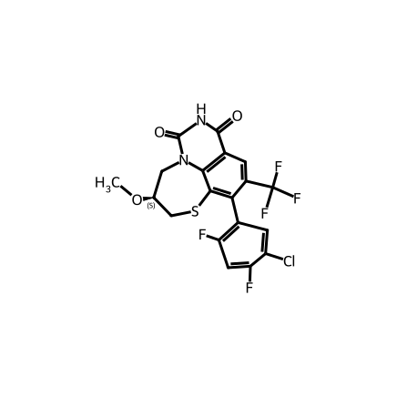 CO[C@@H]1CSc2c(-c3cc(Cl)c(F)cc3F)c(C(F)(F)F)cc3c(=O)[nH]c(=O)n(c23)C1